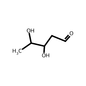 CC(O)C(O)CC=O